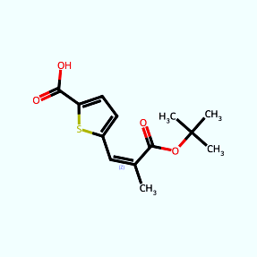 C/C(=C/c1ccc(C(=O)O)s1)C(=O)OC(C)(C)C